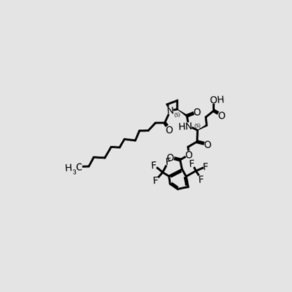 CCCCCCCCCCCC(=O)N1CC[C@H]1C(=O)N[C@@H](CCC(=O)O)C(=O)COC(=O)c1c(C(F)(F)F)cccc1C(F)(F)F